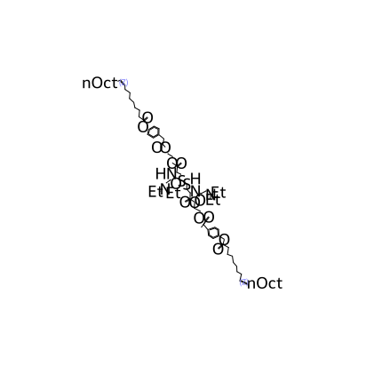 CCCCCCCC/C=C\CCCCCCCC(=O)Oc1ccc(CC(=O)OCCOC(=O)C(CSSCC(NC(=O)CN(CC)CC)C(=O)OCCOC(=O)Cc2ccc(OC(=O)CCCCCCC/C=C\CCCCCCCC)cc2)NC(=O)CN(CC)CC)cc1